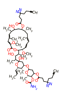 C#CCCC1(CCC(=O)OC2CC(O[C@@H]3CC(O)([C@@H](C)[C@H](O)[C@H](C)C4OC(=O)/C(OC)=C/C(C)=C/[C@@H](C)C(O)C[C@@H](OC(=O)CCC5(CCC#C)N=N5)[C@H](C)C/C(C)=C/C=C/[C@@H]4OC)O[C@H](/C=C/C)[C@H]3C)O[C@@H](C)[C@@H]2OC(N)=O)N=N1